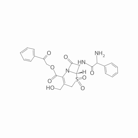 NC(C(=O)N[C@H]1C(=O)N2C(C(=O)OCC(=O)c3ccccc3)=C(CO)CS(=O)(=O)[C@@H]12)c1ccccc1